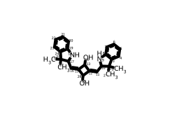 CC1(C)c2ccccc2NC1C=C1C(O)C(=CC2Nc3ccccc3C2(C)C)C1O